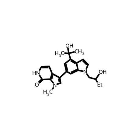 CCC(O)Cn1ccc2c(C(C)(C)O)cc(-c3cn(C)c4c(=O)[nH]ccc34)cc21